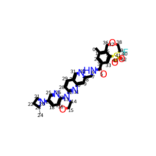 Cc1cc(C(=O)NCc2cc3nc(N4CCOc5cc(N6CC[C@H]6C)cnc54)ccc3cn2)cc2c1COC[C@H](F)S2(=O)=O